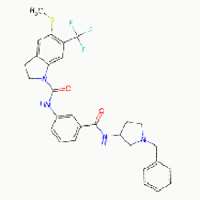 CSc1cc2c(cc1C(F)(F)F)N(C(=O)Nc1cccc(C(=O)NC3CCN(Cc4ccccc4)C3)c1)CC2